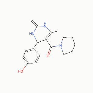 C=C1NC(C)=C(C(=O)N2CCCCC2)C(c2ccc(O)cc2)N1